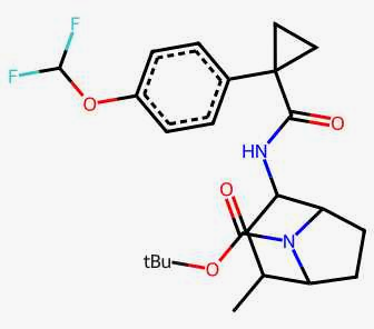 CC1CC(NC(=O)C2(c3ccc(OC(F)F)cc3)CC2)C2CCC1N2C(=O)OC(C)(C)C